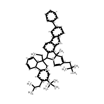 CCC1(C2c3ccc4c(oc5ccc(-c6ccccc6)cc54)c3C3(C)C=C(CC(C)(C)C)C=CN23)C[n+]2cc([Si](C)(C)C)c(CC(C)C)cc2C2C=CC=CC21